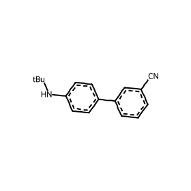 CC(C)(C)Nc1ccc(-c2cccc(C#N)c2)cc1